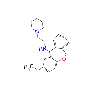 CCC1=CC=C2OCc3ccccc3C(NCCN3CCCCC3)=C2C1